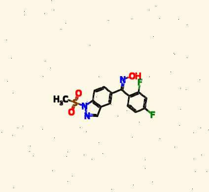 CS(=O)(=O)n1ncc2cc(C(=NO)c3ccc(F)cc3F)ccc21